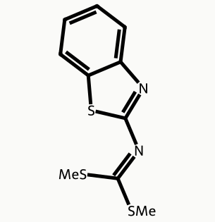 CSC(=Nc1nc2ccccc2s1)SC